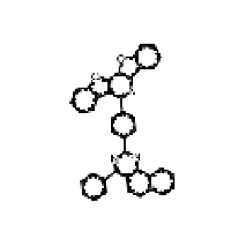 c1ccc(-c2nc(-c3ccc(-c4nc5c6ccccc6oc5c5oc6ccccc6c45)cc3)nc3c2ccc2ccccc23)cc1